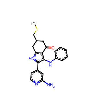 CC(C)SCC1CC(=O)c2c([nH]c(-c3ccnc(N)c3)c2Nc2ccccc2)C1